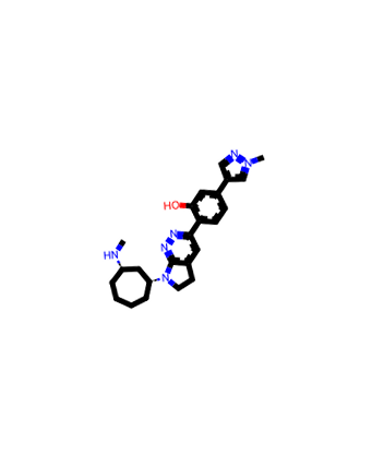 CN[C@H]1CCCC[C@@H](N2CCc3cc(-c4ccc(-c5cnn(C)c5)cc4O)nnc32)C1